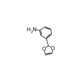 Nc1cccc(C2OC=CO2)c1